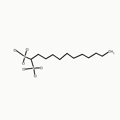 CCCCCCCCCCCC([Si](Cl)(Cl)Cl)[Si](Cl)(Cl)Cl